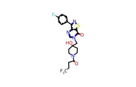 O=C(CCC(F)(F)F)N1CCC(O)(Cn2cnc3c(-c4ccc(F)cc4)nsc3c2=O)CC1